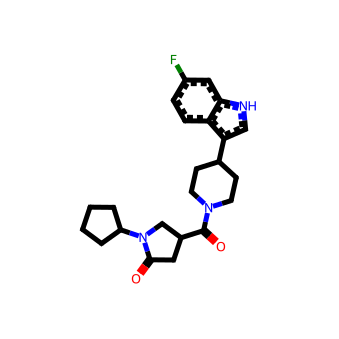 O=C(C1CC(=O)N(C2CCCC2)C1)N1CCC(c2c[nH]c3cc(F)ccc23)CC1